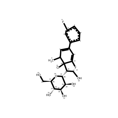 CC1C=C(c2cccc(F)c2)C=C(F)C1(Cl)C(CO)[C@H]1O[C@H](CO)[C@@H](O)[C@H](O)[C@@H]1O